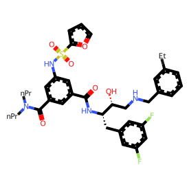 CCCN(CCC)C(=O)c1cc(NS(=O)(=O)c2ccco2)cc(C(=O)N[C@@H](Cc2cc(F)cc(F)c2)[C@H](O)CNCc2cccc(CC)c2)c1